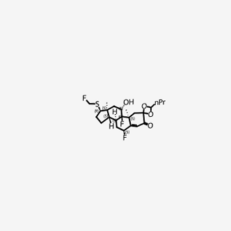 CCCC1OC2(C[C@@]3(C)C(=CC2=O)[C@@H](F)C[C@H]2[C@@H]4CC[C@@H](SCF)[C@@]4(C)C[C@H](O)[C@@]23F)O1